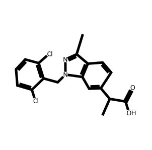 Cc1nn(Cc2c(Cl)cccc2Cl)c2cc(C(C)C(=O)O)ccc12